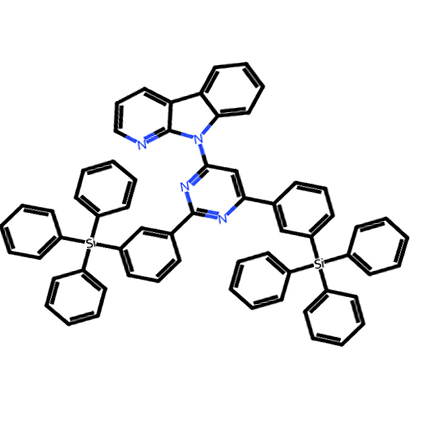 c1ccc([Si](c2ccccc2)(c2ccccc2)c2cccc(-c3cc(-n4c5ccccc5c5cccnc54)nc(-c4cccc([Si](c5ccccc5)(c5ccccc5)c5ccccc5)c4)n3)c2)cc1